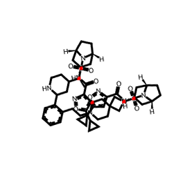 C[C@@H](C1CCNC(c2ccccc2CCN2CCC3(CC2)CN(S(=O)(=O)N2[C@@H]4CC[C@H]2C[C@@H](NC(=O)c2cc(C5CC5)on2)C4)C3)C1)S(=O)(=O)N1[C@@H]2CC[C@H]1C[C@@H](NC(=O)c1cc(C3CC3)on1)C2